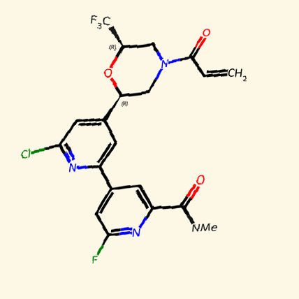 C=CC(=O)N1C[C@@H](c2cc(Cl)nc(-c3cc(F)nc(C(=O)NC)c3)c2)O[C@@H](C(F)(F)F)C1